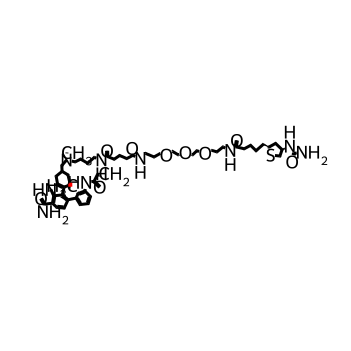 C=CC(=O)Nc1cccc(-c2ccc(C(N)=O)c3[nH]c4c(c23)CCC(CN(C)CCCCNC(=O)CCCC(=O)NCCCOCCOCCOCCCNC(=O)CCCC[C@H]2C[C@@H](NC(N)=O)CS2)C4)c1C